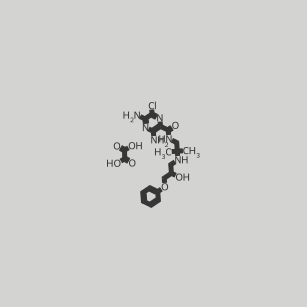 CC(C)(CNC(=O)c1nc(Cl)c(N)nc1N)NCC(O)COc1ccccc1.O=C(O)C(=O)O